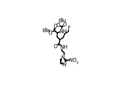 CC(C)(C)OC(=O)NC(CC(CCCF)C(=O)NCCn1ccnc1[N+](=O)[O-])C(=O)OC(C)(C)C